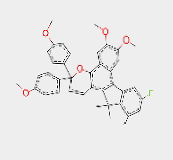 COc1ccc(C2(c3ccc(OC)cc3)C=Cc3c4c(c5cc(OC)c(OC)cc5c3O2)-c2cc(F)cc(C)c2C4(C)C)cc1